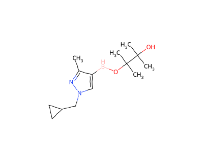 Cc1nn(CC2CC2)cc1BOC(C)(C)C(C)(C)O